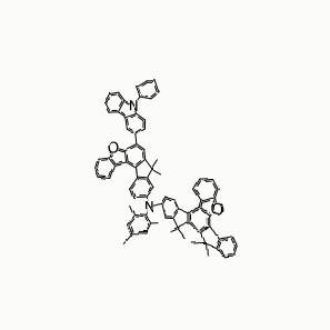 Cc1cc(C)c(N(c2ccc3c(c2)C(C)(C)c2cc(-c4ccc5c(c4)c4ccccc4n5-c4ccccc4)c4oc5ccccc5c4c2-3)c2ccc3c(c2)C(C)(C)c2c4c(c5oc6ccccc6c5c2-3)-c2ccccc2C4(C)C)c(C)c1